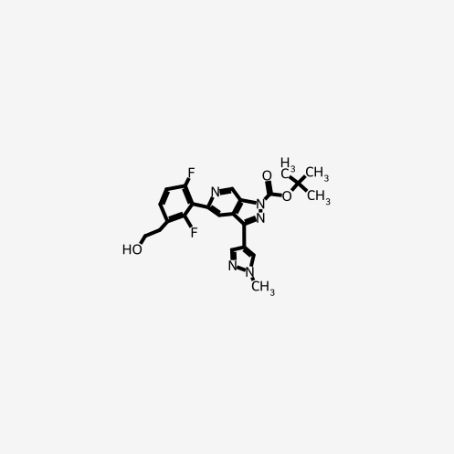 Cn1cc(-c2nn(C(=O)OC(C)(C)C)c3cnc(-c4c(F)ccc(CCO)c4F)cc23)cn1